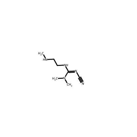 CNCCN/C(=N/C#N)N(C)C